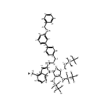 CC(C)(C)[Si](C)(C)OC[C@H]1O[C@@H](n2c(NCCc3ccc(-c4cccc(OCc5ccccc5)c4)cc3)nc3c(N)ncnc32)[C@H](O[Si](C)(C)C(C)(C)C)[C@@H]1O[Si](C)(C)C(C)(C)C